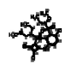 CC[C@H](COC)Nc1c(Nc2ccc(Cl)c(S(=O)(=O)N(CC)OC)c2O)c(=O)c1=O